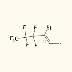 [CH2]/C=C(\CC)C(F)(F)C(F)(F)C(F)(F)F